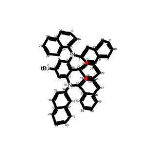 CC(C)(C)c1cc(N(c2ccc3ccccc3c2)c2cccc3ccccc23)c(-c2ccccc2)c(N(c2ccc3ccccc3c2)c2cccc3ccccc23)c1